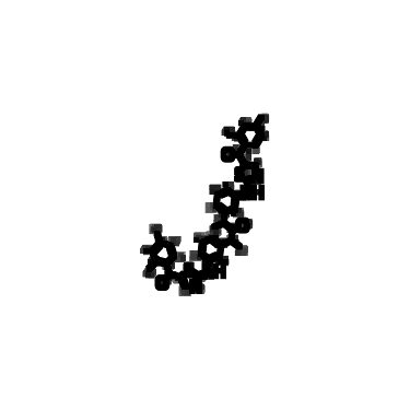 Cc1ccc(C(=O)c2cnc(Nc3cccc(C(C)C(=O)C(C)c4cccc(Nc5ncc(C(=O)c6ccc(C)cc6C)s5)c4)c3)s2)c(C)c1